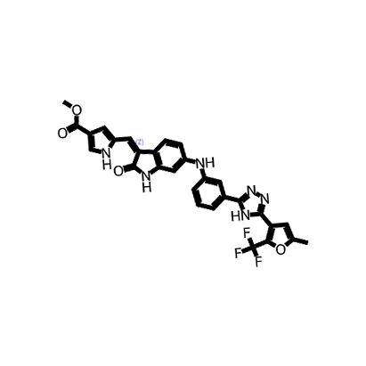 COC(=O)c1c[nH]c(/C=C2\C(=O)Nc3cc(Nc4cccc(-c5nnc(-c6cc(C)oc6C(F)(F)F)[nH]5)c4)ccc32)c1